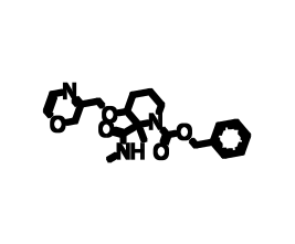 CNC(=O)C1(C)C(OCC2=NC=COC2)CCCN1C(=O)OCc1ccccc1